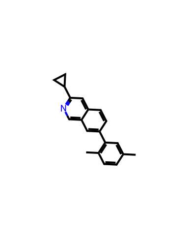 Cc1ccc(C)c(-c2ccc3cc(C4CC4)ncc3c2)c1